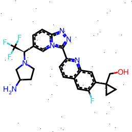 NC1CCN([C@H](c2ccc3nnc(-c4ccc5cc(F)c(C6(CO)CC6)cc5n4)n3c2)C(F)(F)F)C1